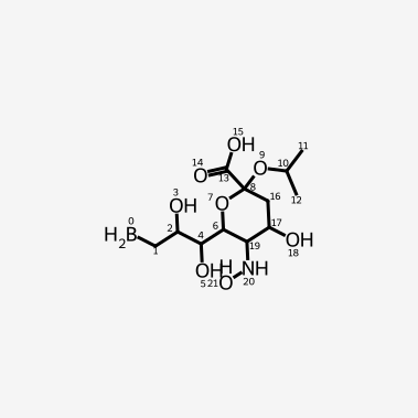 BCC(O)C(O)C1OC(OC(C)C)(C(=O)O)CC(O)C1NO